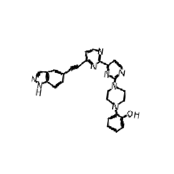 Oc1ccccc1N1CCN(c2nccc(-c3nccc(C#Cc4ccc5[nH]ncc5c4)n3)n2)CC1